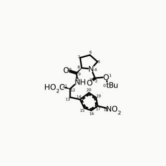 CC(C)(C)OC(=O)N1CCC[C@@H]1C(=O)N[C@@H](Cc1ccc([N+](=O)[O-])cc1)C(=O)O